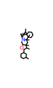 CC1CCCC(C2OC3CN4C(C)(CC3(C)C2C)C2(C)CCCCC23C(C)[C@]32C[C@]42C)C1